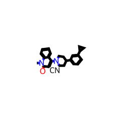 Cn1c(=O)c(C#N)c(N2CCC(c3cccc(C4CC4)c3)CC2)c2ccccc21